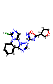 Fc1ncc2n1-c1ccccc1C1N=CN(c3noc(C4CCOC4)n3)N21